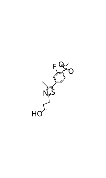 Cc1nc(CC[CH]O)sc1-c1ccc(S(C)(=O)=O)c(F)c1